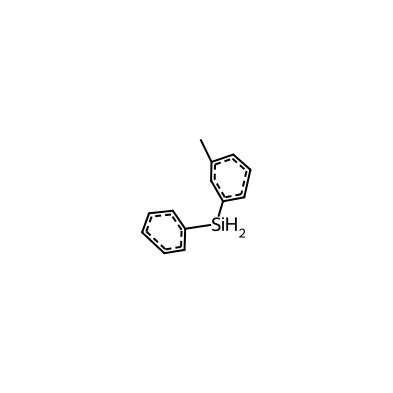 Cc1cccc([SiH2]c2ccccc2)c1